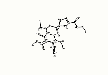 CCOC(=O)c1csc(C(=O)CC(C(C)C)N(CCOC)C(=O)[C@@H](N=[N+]=[N-])[C@@H](C)CC)n1